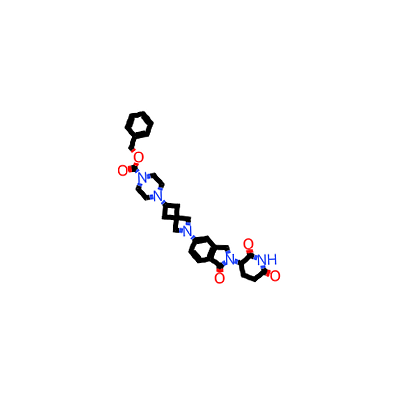 O=C1CCC(N2Cc3cc(N4CC5(CC(N6CCN(C(=O)OCc7ccccc7)CC6)C5)C4)ccc3C2=O)C(=O)N1